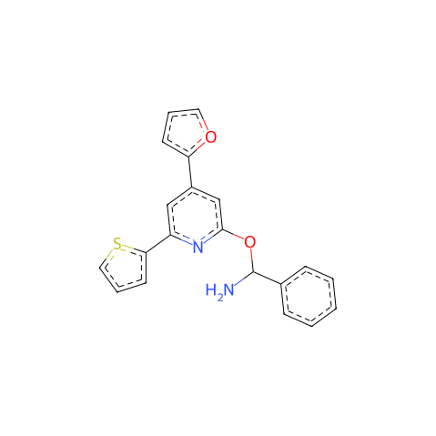 NC(Oc1cc(-c2ccco2)cc(-c2cccs2)n1)c1ccccc1